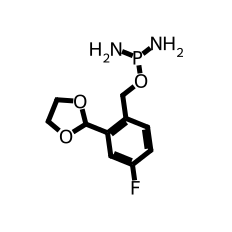 NP(N)OCc1ccc(F)cc1C1OCCO1